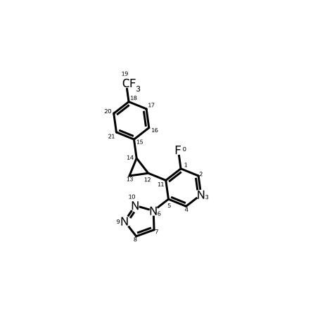 Fc1cncc(-n2ccnn2)c1C1CC1c1ccc(C(F)(F)F)cc1